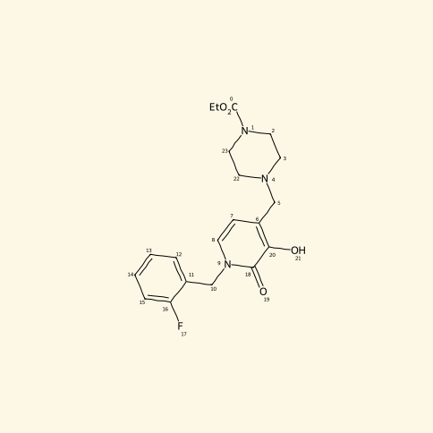 CCOC(=O)N1CCN(Cc2ccn(Cc3ccccc3F)c(=O)c2O)CC1